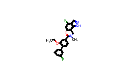 CCOc1cc(C(=O)N(C)Cc2ccc(F)c3cn[nH]c23)ccc1-c1cccc(F)c1